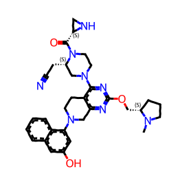 CN1CCC[C@H]1COc1nc2c(c(N3CCN(C(=O)[C@@H]4CN4)[C@@H](CC#N)C3)n1)CCN(c1cc(O)cc3ccccc13)C2